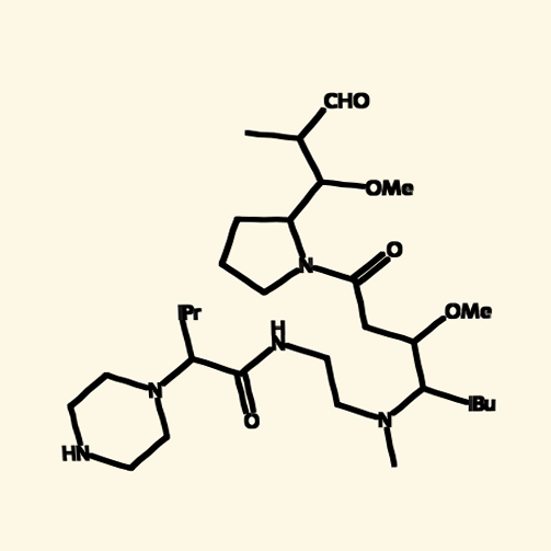 CCC(C)C(C(CC(=O)N1CCCC1C(OC)C(C)C=O)OC)N(C)CCNC(=O)C(C(C)C)N1CCNCC1